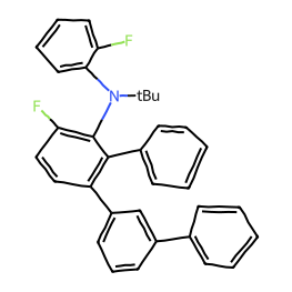 CC(C)(C)N(c1ccccc1F)c1c(F)ccc(-c2cccc(-c3ccccc3)c2)c1-c1ccccc1